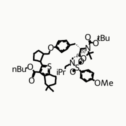 CCCCOC(=O)c1c(C2CCCC2COc2ccc(C[C@H]3[C@@H](CN(CC(C)C)S(=O)(=O)c4ccc(OC)cc4)OC(C)(C)N3C(=O)OC(C)(C)C)cc2)sc2c1CC(C)(C)CC2